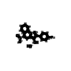 O=[N+]([O-])c1cc2c(O)n(-c3ccc(F)cc3)n[n+]2c2ccccc12.[OH-]